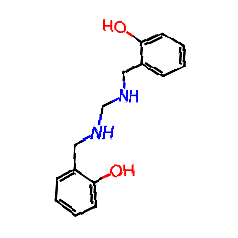 Oc1ccccc1CNCNCc1ccccc1O